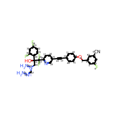 N#Cc1cc(F)cc(COc2ccc(C#Cc3ccc(C(F)(F)C(O)(CN(N)/C=N\N)c4ccc(F)cc4F)nc3)cc2)c1